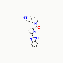 O=C(c1cccc(-c2nc3ccccc3[nH]2)n1)N1CCCC2(CCNCC2)C1